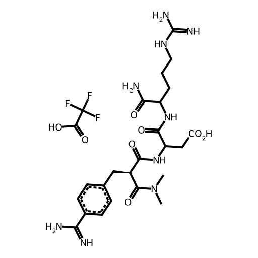 CN(C)C(=O)[C@@H](Cc1ccc(C(=N)N)cc1)C(=O)NC(CC(=O)O)C(=O)NC(CCCNC(=N)N)C(N)=O.O=C(O)C(F)(F)F